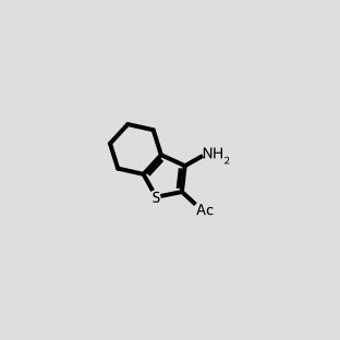 CC(=O)c1sc2c(c1N)CCCC2